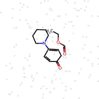 CCOC=O.O=C1C=CC(N2CCCCC2)=CC1